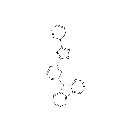 c1ccc(-c2noc(-c3cccc(-n4c5ccccc5c5ccccc54)c3)n2)cc1